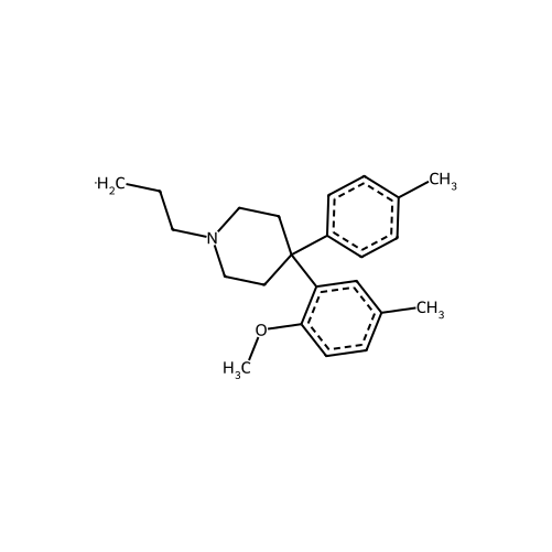 [CH2]CCN1CCC(c2ccc(C)cc2)(c2cc(C)ccc2OC)CC1